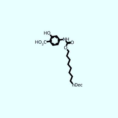 CCCCCCCCCCCCCCCCCCOC(=O)Nc1ccc(C(=O)O)c(O)c1